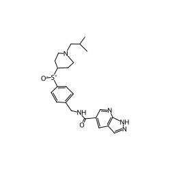 CC(C)CN1CCC([S+]([O-])c2ccc(CNC(=O)c3cnc4[nH]ncc4c3)cc2)CC1